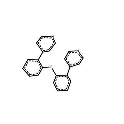 c1ccc(-c2ccncc2)c(Oc2ccccc2-c2ccncc2)c1